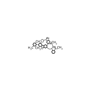 C=CC1=NC2CC(=C)[n+]3cc(C(C)C)c(CC4CCCC4)cc3-c3cc4c(cc3CCC2c2ccccc21)oc1cc(-c2c(C)ccc(C)c2C)ccc14